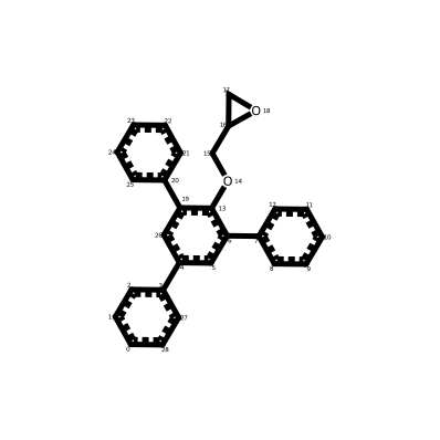 c1ccc(-c2cc(-c3ccccc3)c(OCC3CO3)c(-c3ccccc3)c2)cc1